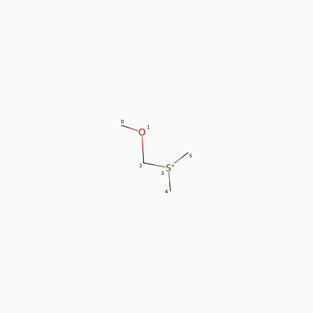 COC[S+](C)C